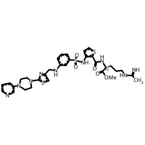 COC(=O)[C@H](CCCNC(C)=N)NC(=O)c1sccc1NS(=O)(=O)c1cccc(NCc2csc(N3CCN(c4cccnc4)CC3)n2)c1